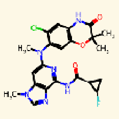 CN(c1cc2c(ncn2C)c(NC(=O)[C@H]2C[C@H]2F)n1)c1cc2c(cc1Cl)NC(=O)C(C)(C)O2